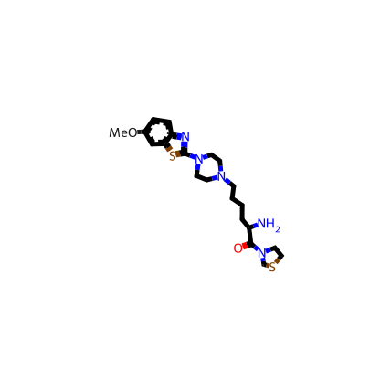 COc1ccc2nc(N3CCN(CCCCC(N)C(=O)N4CCSC4)CC3)sc2c1